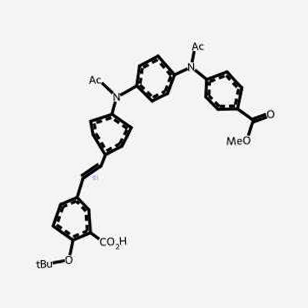 COC(=O)c1ccc(N(C(C)=O)c2ccc(N(C(C)=O)c3ccc(/C=C/c4ccc(OC(C)(C)C)c(C(=O)O)c4)cc3)cc2)cc1